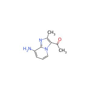 CC(=O)c1c(C)nc2c(N)cccn12